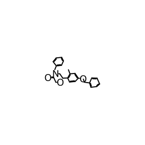 Cc1cc(OCc2ccccc2)ccc1C1CN(Cc2ccccc2)C(=O)CO1